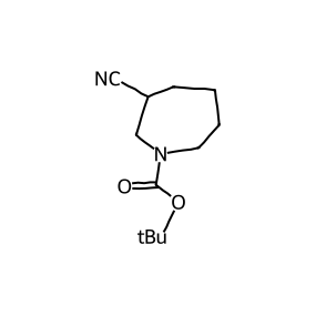 CC(C)(C)OC(=O)N1CCCCC(C#N)C1